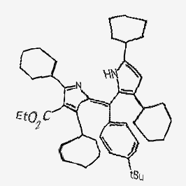 CCOC(=O)C1=C(C2CCCCC2)/C(=C(\c2ccc(C(C)(C)C)cc2)c2[nH]c(C3CCCCC3)cc2C2CCCCC2)N=C1C1CCCCC1